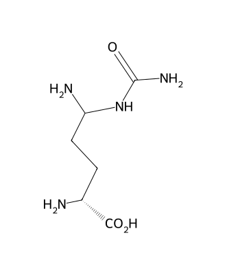 NC(=O)NC(N)CC[C@@H](N)C(=O)O